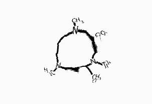 CC1CCN(C)CCCN(C)CCC[N]1[Ti+3].[Cl-].[Cl-].[Cl-]